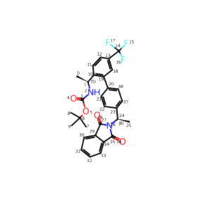 C[C@H](NC(=O)OC(C)(C)C)c1ccc(C(F)(F)F)cc1-c1ccc([C@@H](C)N2C(=O)c3ccccc3C2=O)cc1